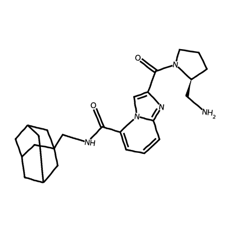 NC[C@@H]1CCCN1C(=O)c1cn2c(C(=O)NCC34CC5CC(CC(C5)C3)C4)cccc2n1